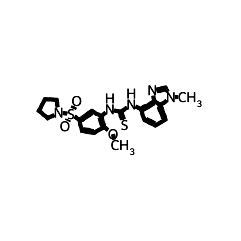 COc1ccc(S(=O)(=O)N2CCCC2)cc1NC(=S)Nc1cccc2c1ncn2C